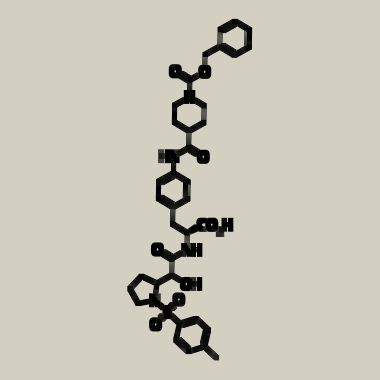 Cc1ccc(S(=O)(=O)N2CCCC2C(O)C(=O)N[C@@H](Cc2ccc(NC(=O)C3CCN(C(=O)OCc4ccccc4)CC3)cc2)C(=O)O)cc1